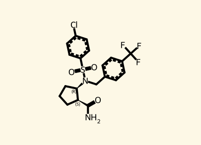 NC(=O)[C@H]1CCC[C@H]1N(Cc1ccc(C(F)(F)F)cc1)S(=O)(=O)c1ccc(Cl)cc1